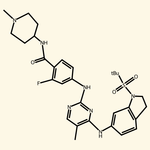 Cc1cnc(Nc2ccc(C(=O)NC3CCN(C)CC3)c(F)c2)nc1Nc1ccc2c(c1)N(S(=O)(=O)C(C)(C)C)CC2